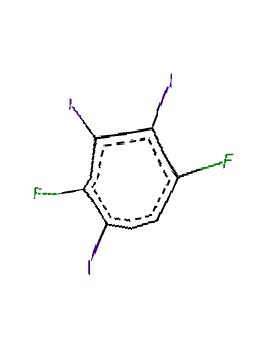 Fc1cc(I)c(F)c(I)c1I